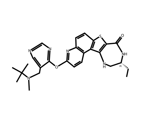 CC[C@@H]1CNc2c(sc3ccc4nc(Oc5ncncc5CN(C)C(C)(C)C)ccc4c23)C(=O)N1